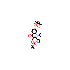 Cc1c(C2CCN2C(=O)OC(C)(C)C)n(C(C)C)c2cc(B3OC(C)(C)C(C)(C)O3)ccc2c1=O